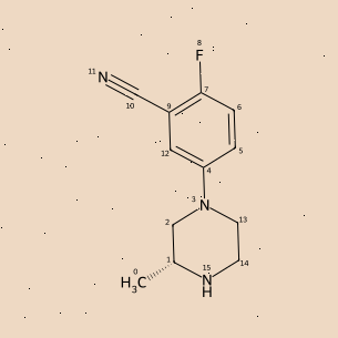 C[C@@H]1CN(c2ccc(F)c(C#N)c2)CCN1